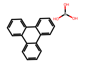 OB(O)O.c1ccc2c(c1)c1ccccc1c1ccccc21